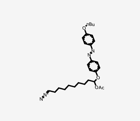 CCCCOc1ccc(N=Nc2ccc(OC(CCCCCCCCC=[N+]=[N-])OC(C)=O)cc2)cc1